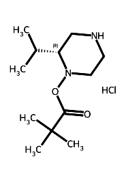 CC(C)[C@@H]1CNCCN1OC(=O)C(C)(C)C.Cl